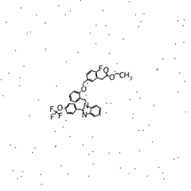 CCOC(=O)Cc1cc(COc2ccccc2Cn2c(-c3ccc(OC(F)(F)F)cc3)nc3ccccc32)ccc1F